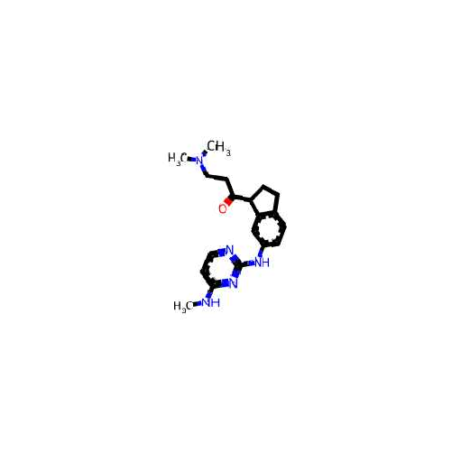 CNc1ccnc(Nc2ccc3c(c2)C(C(=O)CCN(C)C)CC3)n1